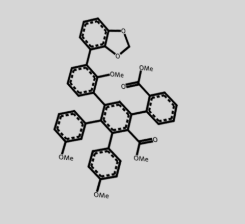 COC(=O)c1ccccc1-c1[c]c(-c2cccc(-c3cccc4c3OCO4)c2OC)c(-c2cccc(OC)c2)c(-c2ccc(OC)cc2)c1C(=O)OC